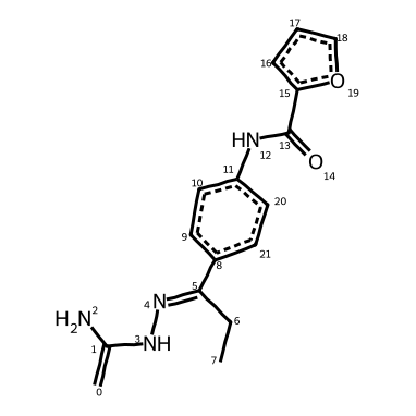 C=C(N)N/N=C(\CC)c1ccc(NC(=O)c2ccco2)cc1